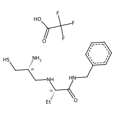 CC[C@H](NC[C@@H](N)CS)C(=O)NCc1ccccc1.O=C(O)C(F)(F)F